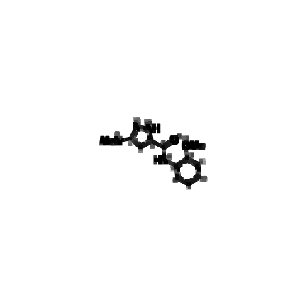 CNc1cc(C(=O)Nc2ccccc2OC)[nH]n1